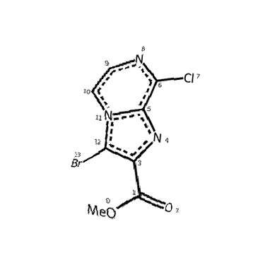 COC(=O)c1nc2c(Cl)nccn2c1Br